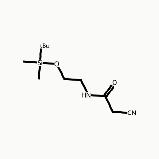 CC(C)(C)[Si](C)(C)OCCNC(=O)CC#N